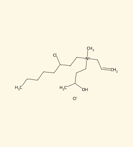 C=CC[N+](C)(CCC(C)O)CCC(Cl)CCCCC.[Cl-]